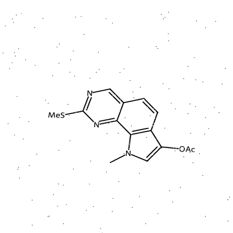 CSc1ncc2ccc3c(OC(C)=O)cn(C)c3c2n1